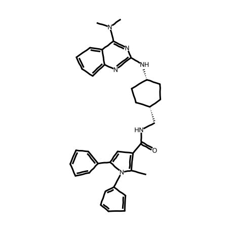 Cc1c(C(=O)NC[C@H]2CC[C@@H](Nc3nc(N(C)C)c4ccccc4n3)CC2)cc(-c2ccccc2)n1-c1ccccc1